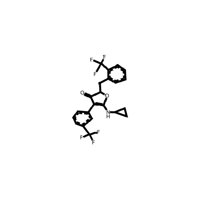 O=C1C(c2cccc(C(F)(F)F)c2)=C(NC2CC2)OC1Cc1ccccc1C(F)(F)F